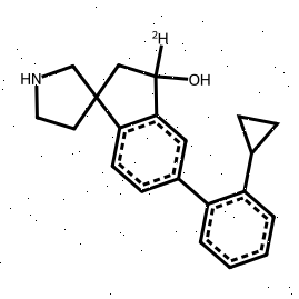 [2H]C1(O)CC2(CCNC2)c2ccc(-c3ccccc3C3CC3)cc21